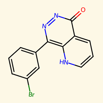 O=c1nnc(-c2cccc(Br)c2)c2[nH]cccc1-2